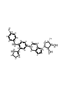 C[C@H]1O[C@@H](n2ccc3c2N=CN(c2ccc(Nc4ccc(F)cc4)c(C4=NCCN4)c2)C3)[C@H](O)[C@@H]1O